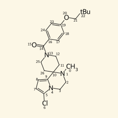 CN1CCn2c(Cl)ccc2C12CCN(C(=O)c1ccc(OCC(C)(C)C)cc1)CC2